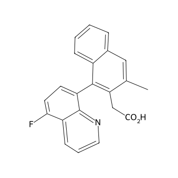 Cc1cc2ccccc2c(-c2ccc(F)c3cccnc23)c1CC(=O)O